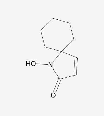 O=C1C=CC2(CCCCC2)N1O